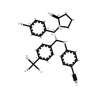 N#Cc1ccc(OC(c2ccc(C(F)(F)F)cc2)[C@H](c2ccc(F)cc2)N2CCCC2=O)cc1